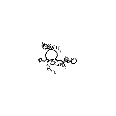 CC(CC(=O)NCC1(O)CCCCC1)C1CCCC[C@](c2ccccc2)(N(C)C)CCCC(CC2CCC2)C(C)C1=O